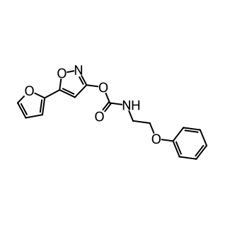 O=C(NCCOc1ccccc1)Oc1cc(-c2ccco2)on1